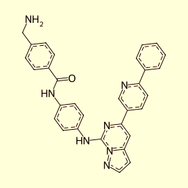 NCc1ccc(C(=O)Nc2ccc(Nc3nc(-c4ccc(-c5ccccc5)nc4)cc4ccnn34)cc2)cc1